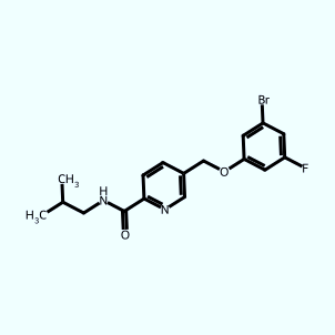 CC(C)CNC(=O)c1ccc(COc2cc(F)cc(Br)c2)cn1